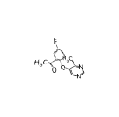 CC(=O)c1cc(F)ccc1Oc1cncnc1C